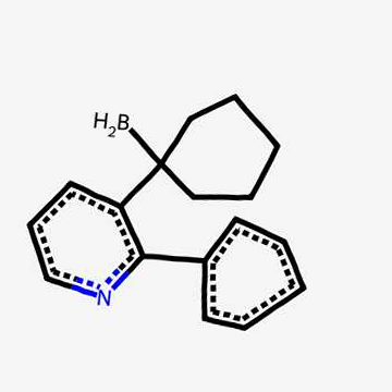 BC1(c2cccnc2-c2ccccc2)CCCCC1